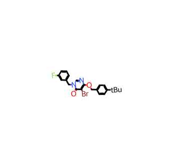 CC(C)(C)c1ccc(COc2ncn(Cc3cccc(F)c3)c(=O)c2Br)cc1